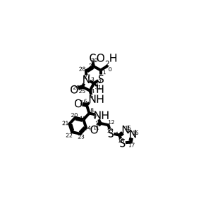 CC1S[C@@H]2C(NC(=O)C(NC(=O)CSc3nncs3)c3ccccc3)C(=O)N2C=C1C(=O)O